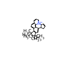 CC1(C)c2cc3c4c(ccc5ccc[n+](c54)C4C=CCC34)c2C(C)(C)C1(C)C